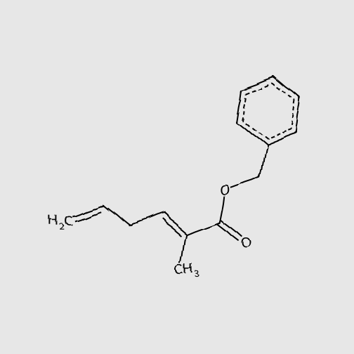 C=CCC=C(C)C(=O)OCc1ccccc1